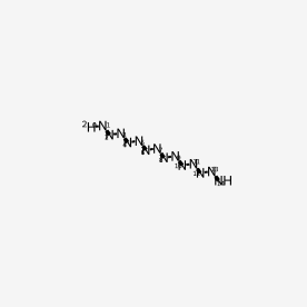 [2H]/N=N/N=N/N=N/N=N/N=N/N=N/N=N